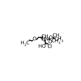 C=CCOCC[C@@H](C)C[C@H](NC(=O)OC(C)(C)C)[C@H](O)CCl